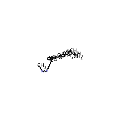 CCCCC/C=C\C/C=C\CCCCCCCCOCC(CN1CCCCC1)OC(=O)CCC(=O)O[C@H]1CC[C@@]2(C)C(=CCC3C2CC[C@@]2(C)C3CC[C@@H]2[C@H](C)CCCC(C)C)C1